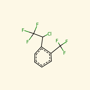 FC(F)(F)c1ccccc1C(Cl)C(F)(F)F